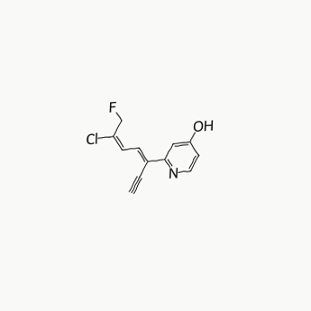 C#C/C(=C\C=C(\Cl)CF)c1cc(O)ccn1